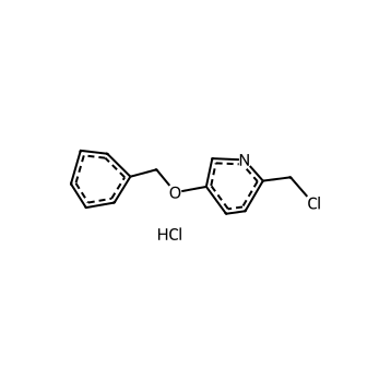 Cl.ClCc1ccc(OCc2ccccc2)cn1